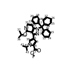 COC(=O)c1cc(-c2nn(C(c3ccccc3)(c3ccccc3)c3ccccc3)c3ccnc(OC(C)C)c23)cn1C(C)C